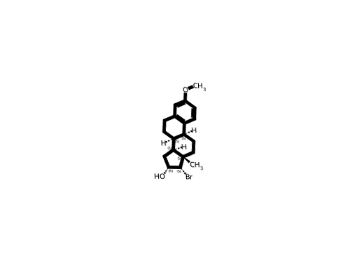 COc1ccc2c(c1)CC[C@H]1[C@@H]2CC[C@]2(C)[C@H](Br)[C@H](O)C[C@@H]12